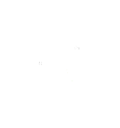 CC(C)C(CC#N)S(C)(C)F